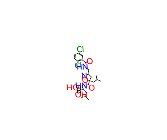 CC(C)C[C@H](NC(=O)C1(CC(C)C)CC(CNC(=O)c2cc(Cl)ccc2Cl)=NO1)B(O)O